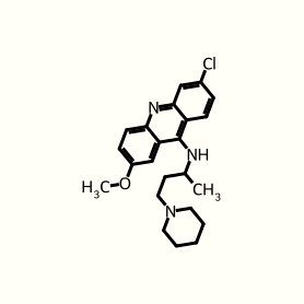 COc1ccc2nc3cc(Cl)ccc3c(NC(C)CCN3CCCCC3)c2c1